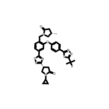 C[C@H]1CC(=O)N(Cc2ccc(-c3nc([C@@H]4CC(=O)N(C5CC5)C4)no3)cc2Oc2ccc(-c3nnc(C(C)(C)F)s3)cc2)C1